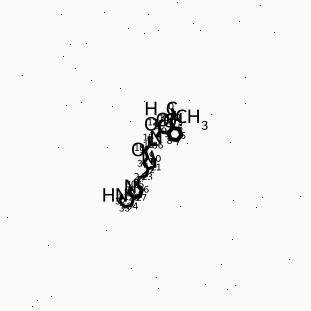 CC(C)Oc1ccccc1C(C(=O)O)N1CC(C(=O)N2CCC(CCc3ccc4c(n3)NCCC4)C2)C1